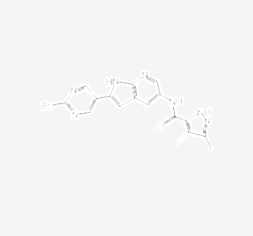 Cc1n[nH]c(C(=O)Nc2cnc3[nH]c(-c4cnc(C(C)C)nc4)cc3c2)c1C